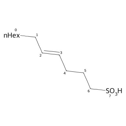 CCCCCCCC=CCCCS(=O)(=O)O